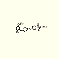 COC(=O)NC1CCC(CCN2CCC(Cc3cc(OC(C)C)ccc3Br)CC2)CC1